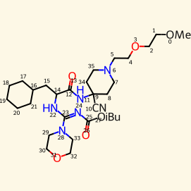 COCCOCCN1CCC(C#N)(NC(=O)C(CC2CCCCC2)NC(=NC(=O)OCC(C)C)N2CCOCC2)CC1